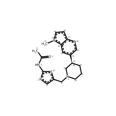 CC(=O)Nc1ncc(CN2CCC[C@H](c3cnc4ccn(C)c4c3)C2)s1